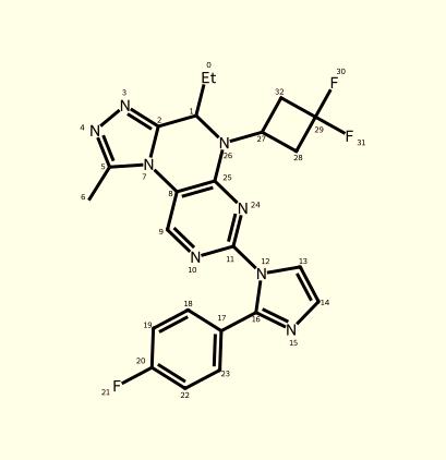 CCC1c2nnc(C)n2-c2cnc(-n3ccnc3-c3ccc(F)cc3)nc2N1C1CC(F)(F)C1